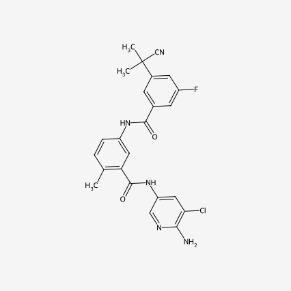 Cc1ccc(NC(=O)c2cc(F)cc(C(C)(C)C#N)c2)cc1C(=O)Nc1cnc(N)c(Cl)c1